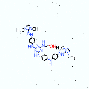 Cn1cc[n+](C)c1/N=N/c1ccc(Nc2ccc(Nc3nc(NCCO)nc(Nc4ccc(/N=N/c5n(C)cc[n+]5C)cc4)n3)cc2)cc1